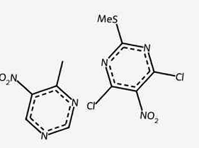 CSc1nc(Cl)c([N+](=O)[O-])c(Cl)n1.Cc1ncncc1[N+](=O)[O-]